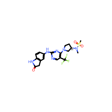 CN([C@@H]1CCN(c2nc(Nc3ccc4c(c3)CC(=O)N4)ncc2C(F)(F)F)C1)S(C)(=O)=O